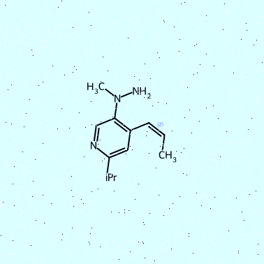 C/C=C\c1cc(C(C)C)ncc1N(C)N